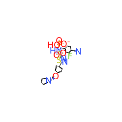 N#Cc1ccc(C(NS(=O)(=O)c2nnc(-c3ccc(OCC[n+]4ccccc4)cc3)s2)P(=O)([O-])O)cc1F